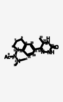 CC(=O)N(N(C)C)N1CCCc2cc(C3=NNC(=O)NC3C)ccc21